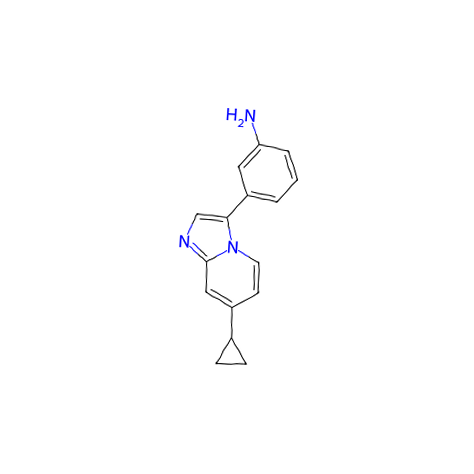 Nc1cccc(-c2cnc3cc(C4CC4)ccn23)c1